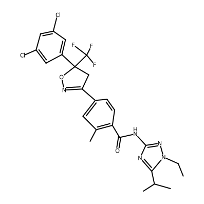 CCn1nc(NC(=O)c2ccc(C3=NOC(c4cc(Cl)cc(Cl)c4)(C(F)(F)F)C3)cc2C)nc1C(C)C